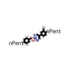 CCCCCc1ccc(-c2cnc(OCC3CCC(CCCCC)CC3)nc2)cc1C